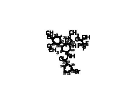 COc1ccc([C@@]23CC[C@@H](NC(=O)c4cccc(Br)c4)C[C@@H]2CN(C)C3)cc1OC.O=C(O)C(F)(F)F